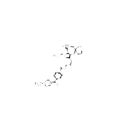 CCn1nc(CC(C)COC(=O)c2ccc(C(=O)N3CCN(C)CC3)cc2)c2c1C(=O)NCC1(CCOCC1)C2